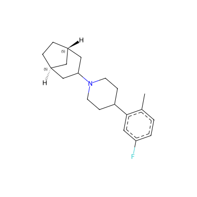 Cc1ccc(F)cc1C1CCN(C2C[C@H]3CC[C@H](C2)C3)CC1